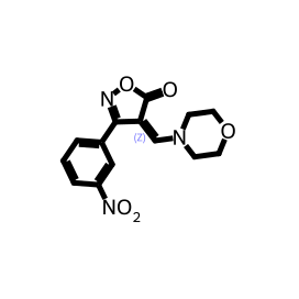 O=C1ON=C(c2cccc([N+](=O)[O-])c2)/C1=C/N1CCOCC1